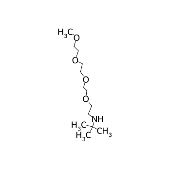 COCCOCCOCCOCCNC(C)(C)C